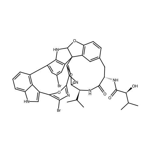 CC(C)[C@H](O)C(=O)N[C@H]1Cc2ccc3c(c2)C24c5cc(Br)cc(c5NC2O3)-c2cccc3[nH]cc(c23)-c2oc(nc2Br)-c2nc(oc24)[C@H](C(C)C)NC1=O